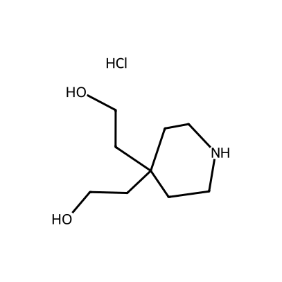 Cl.OCCC1(CCO)CCNCC1